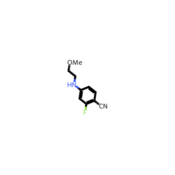 COCCNc1ccc(C#N)c(F)c1